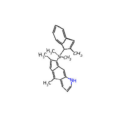 CC1=Cc2ccccc2C1[Si](C)(C)c1c(C)cc2c(C)c3ccc[nH]c3cc12